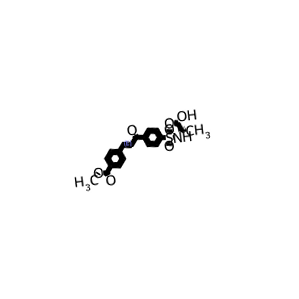 COC(=O)c1ccc(/C=C/C(=O)c2ccc(S(=O)(=O)N[C@H](C)C(=O)O)cc2)cc1